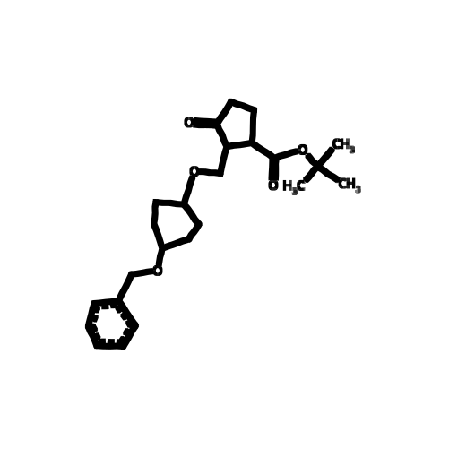 CC(C)(C)OC(=O)C1CCC(=O)C1COC1CCC(OCc2ccccc2)CC1